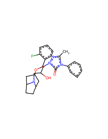 Cc1nn(CC(O)CN2C3CCC2CC(OCc2ccccc2F)C3)c(=O)n1-c1ccccc1